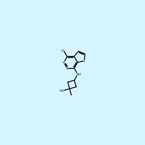 CC1(O)CC(Nc2nnc(Cl)c3ccsc23)C1